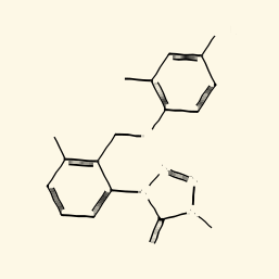 Cc1ccc(OCc2c(Br)cccc2-n2nnn(C)c2=O)c(C(F)(F)F)c1